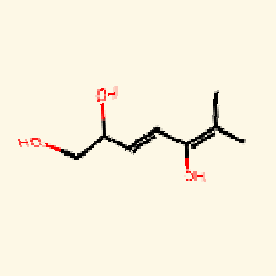 CC(C)=C(O)C=CC(O)CO